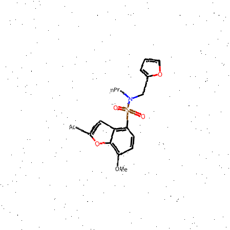 CCCN(Cc1ccco1)S(=O)(=O)c1ccc(OC)c2oc(C(C)=O)cc12